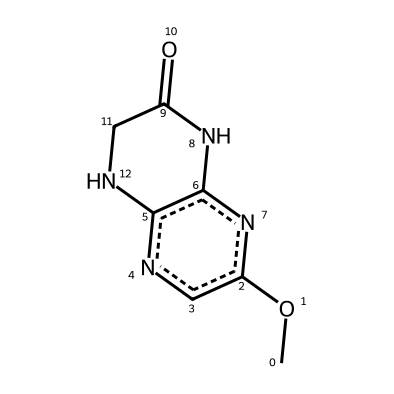 COc1cnc2c(n1)NC(=O)CN2